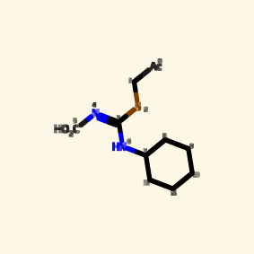 CC(=O)CS/C(=N/C(=O)O)NC1CCCCC1